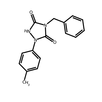 Cc1ccc(-n2[nH]c(=O)n(Cc3ccccc3)c2=O)cc1